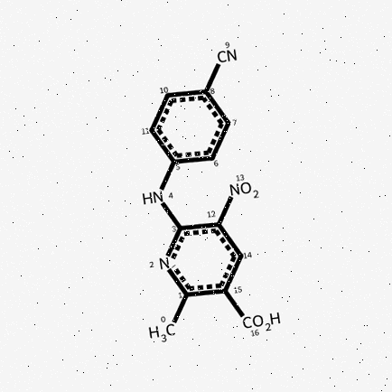 Cc1nc(Nc2ccc(C#N)cc2)c([N+](=O)[O-])cc1C(=O)O